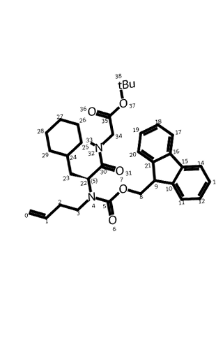 C=CCCN(C(=O)OCC1c2ccccc2-c2ccccc21)[C@@H](CC1CCCCC1)C(=O)N(C)CC(=O)OC(C)(C)C